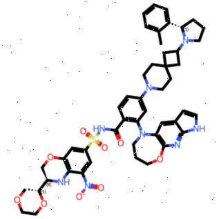 Cc1ccccc1[C@@H]1CCCN1C1CC2(CCN(c3ccc(C(=O)NS(=O)(=O)c4cc5c(c([N+](=O)[O-])c4)N[C@@H]([C@H]4COCCO4)CO5)c(N4CCCOc5nc6[nH]ccc6cc54)c3)CC2)C1